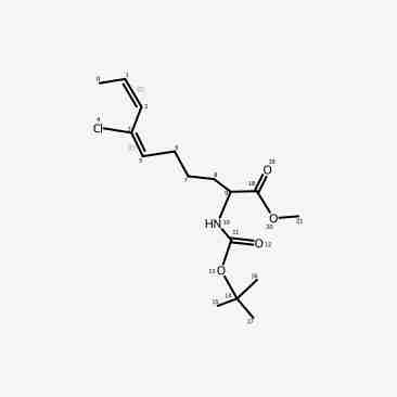 C/C=C\C(Cl)=C/CCCC(NC(=O)OC(C)(C)C)C(=O)OC